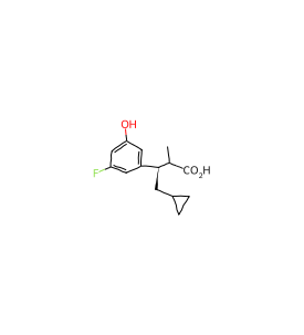 CC(C(=O)O)[C@@H](CC1CC1)c1cc(O)cc(F)c1